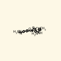 CCN(C(=O)[C@@H]1CCN(CC(=O)N2CC=C(c3ccc(-c4ncn(C)n4)cc3)CC2)C1)c1ccc(N)c(C(=N)c2ccc(C)nc2)c1